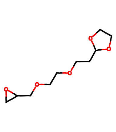 C(COCC1CO1)OCCC1OCCO1